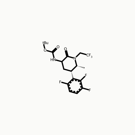 C[C@@H]1[C@H](c2c(F)ccc(F)c2F)CC(NC(=O)OC(C)(C)C)C(=O)N1CC(F)(F)F